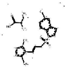 CCC(C)C(=O)O.Cc1noc(C)c1C=CCS(=O)(=O)n1ccc2cc(Cl)ccc21